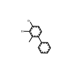 CCc1ccc(-c2ccccc2)c(C)c1CC